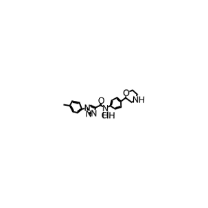 Cc1ccc(-n2cc(C(=O)Nc3ccc(C4CNCCO4)cc3)nn2)cc1.Cl